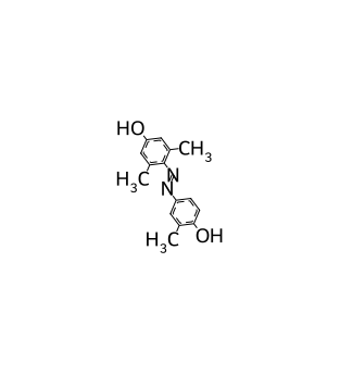 Cc1cc(/N=N/c2c(C)cc(O)cc2C)ccc1O